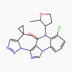 CC1OCCC1n1c(=O)c2c(-n3nncc3C3(C)CC3)ncn2c2cccc(Cl)c21